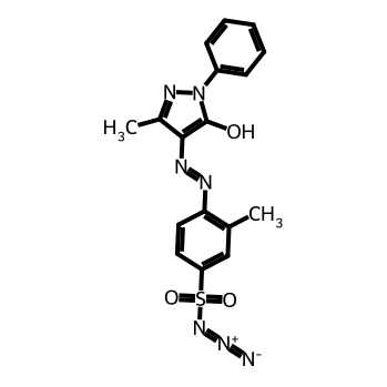 Cc1cc(S(=O)(=O)N=[N+]=[N-])ccc1N=Nc1c(C)nn(-c2ccccc2)c1O